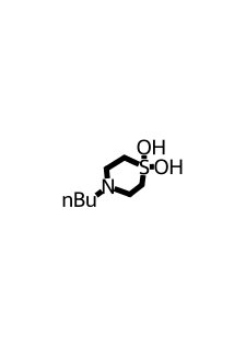 [CH2]CCCN1CCS(O)(O)CC1